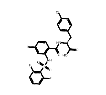 O=C(N[C@@H](Cc1ccc(Cl)cc1)C(=O)O)c1ccc(I)cc1NS(=O)(=O)c1c(F)cccc1F